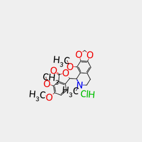 COc1ccc2c(c1OC)C(=O)O[C@@H]2[C@H]1c2c(cc3c(c2OC)OCO3)CCN1C.Cl